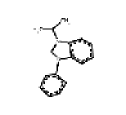 CC(C)N1CN(c2ccccc2)c2ccccc21